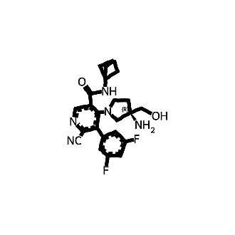 N#Cc1ncc(C(=O)NC23CC(C2)C3)c(N2CC[C@](N)(CO)C2)c1-c1cc(F)cc(F)c1